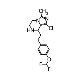 Cc1nc(Cl)c2n1CCNC2CCc1ccc(OC(F)F)cc1